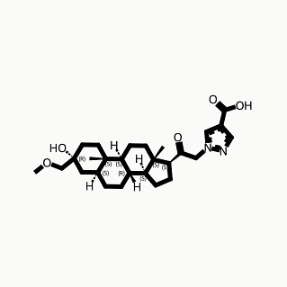 COC[C@@]1(O)CC[C@@]2(C)[C@@H](CC[C@@H]3[C@@H]2CC[C@]2(C)[C@@H](C(=O)Cn4cc(C(=O)O)cn4)CC[C@@H]32)C1